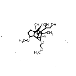 COCO[C@@H]1C[C@@](C)(C(O)CO)C(=O)[C@H](C)C23CC[C@H]4C[C@]41C2[C@H](OC)CC3